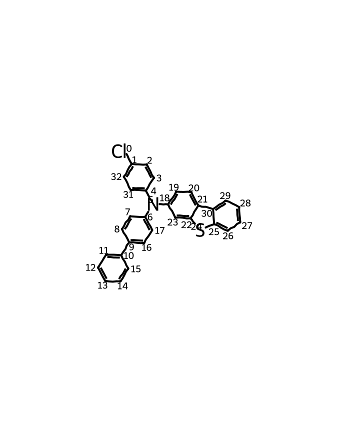 Clc1ccc(N(c2ccc(-c3ccccc3)cc2)c2ccc3c(c2)sc2ccccc23)cc1